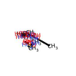 CCCCCCCCCCCCCCCCCC(=O)NCCCC[C@H](NC(=O)CC[C@@H](NC(=O)[C@H](C)NC(=O)[C@@H](C)O[C@H]1[C@H](O)[C@@H](CO)OC(O)[C@@H]1NC(C)=O)C(N)=O)C(=O)O.Cc1nc2ccc(CN(C)c3ccc(C(=O)N[C@@H](CCC(=O)O)C(=O)O)s3)cc2c(=O)[nH]1